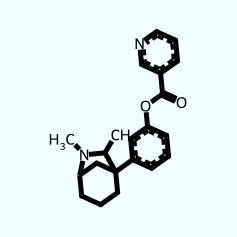 CC1N(C)C2CCCC1(c1cccc(OC(=O)c3cccnc3)c1)C2